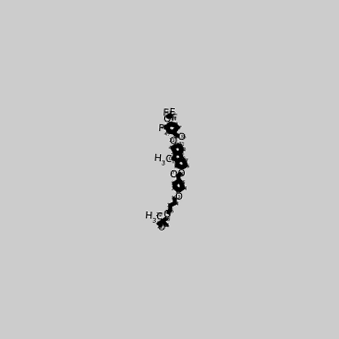 CC1c2cc(OC(=O)c3ccc(OCCCCOCC4(C)COC4)cc3)ccc2-c2ccc(OC(=O)c3ccc(OC(F)(F)F)c(F)c3)cc21